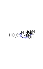 CC/C=C\CC(O)C(/C=C/C=C/C=C\C/C=C\C/C=C\CCC(=O)O)OCC(N)C(=O)NC